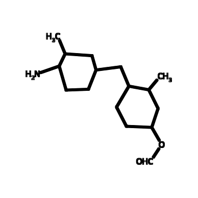 CC1CC(CC2CCC(OC=O)CC2C)CCC1N